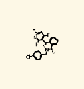 O=c1c2ccccc2c(-c2c(F)cc(F)nc2F)nn1Cc1ccc(Cl)cc1